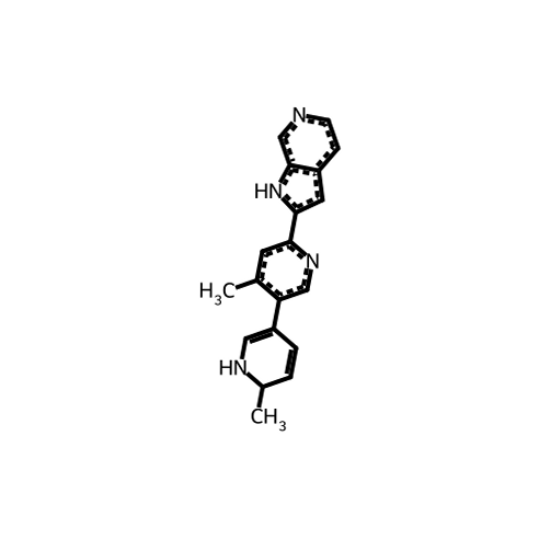 Cc1cc(-c2cc3ccncc3[nH]2)ncc1C1=CNC(C)C=C1